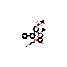 COCCCOc1cc(Cl)cc(CN(C(=O)[C@H]2CN(C(=O)OC(C)(C)C)CC[C@@H]2c2cccc(-c3ccccc3)c2)C2CC2)c1